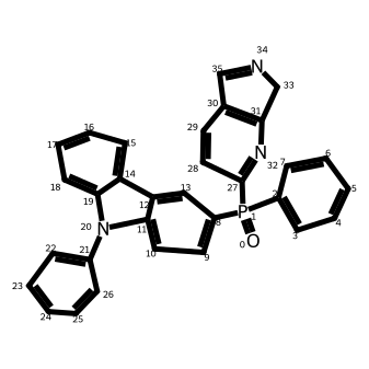 O=P(c1ccccc1)(c1ccc2c(c1)c1ccccc1n2-c1ccccc1)c1ccc2c(n1)CN=C2